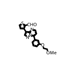 COCCOc1cccc(-c2ccnc3c(-c4ccsc4C=O)cnn23)c1